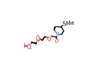 CSC1CCN(C(=O)COCCOCCOI)CC1